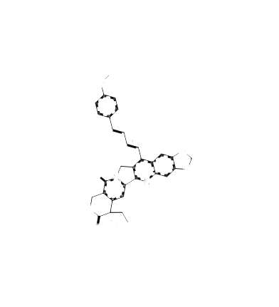 CC[C@@]1(O)C(=O)OCc2c1cc1n(c2=O)Cc2c-1nc1cc3c(cc1c2/C=C/C=C/c1ccc(OC)cc1)OCO3